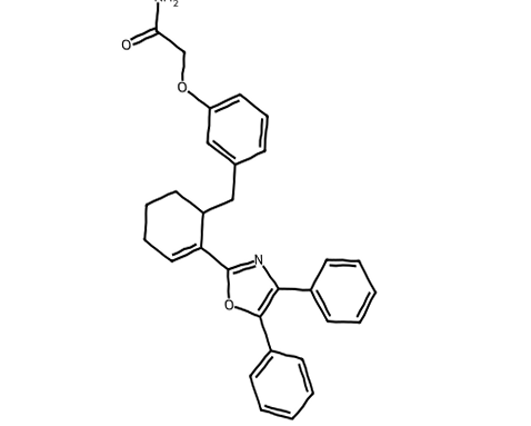 NC(=O)COc1cccc(CC2CCCC=C2c2nc(-c3ccccc3)c(-c3ccccc3)o2)c1